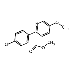 COC=O.COc1ccc(-c2ccc(Cl)cc2)nc1